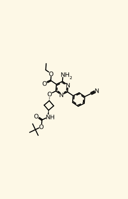 CCOC(=O)c1c(N)nc(-c2cccc(C#N)c2)nc1O[C@H]1C[C@H](NC(=O)OC(C)(C)C)C1